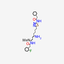 CN/C(=C\C=C(/N)CCCCc1nnc(NC(=O)Cc2ccccc2)s1)NC(=O)Cc1ccccc1F